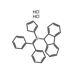 C1=CC[C]([Zr](=[C](c2ccccc2)c2ccccc2)[CH]2c3ccccc3-c3ccccc32)=C1.Cl.Cl